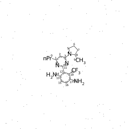 CCCc1cc(N2CCCC2C)nc(-c2c(N)ccc(N)c2C(F)(F)F)n1